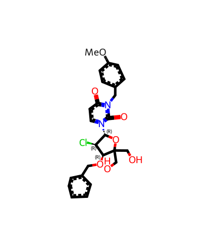 COc1ccc(Cn2c(=O)ccn([C@@H]3OC(CO)(CO)[C@@H](OCc4ccccc4)[C@H]3Cl)c2=O)cc1